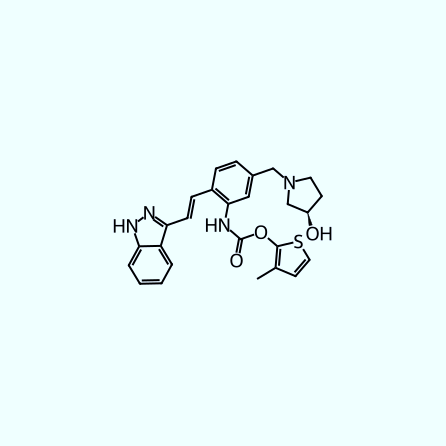 Cc1ccsc1OC(=O)Nc1cc(CN2CC[C@@H](O)C2)ccc1/C=C/c1n[nH]c2ccccc12